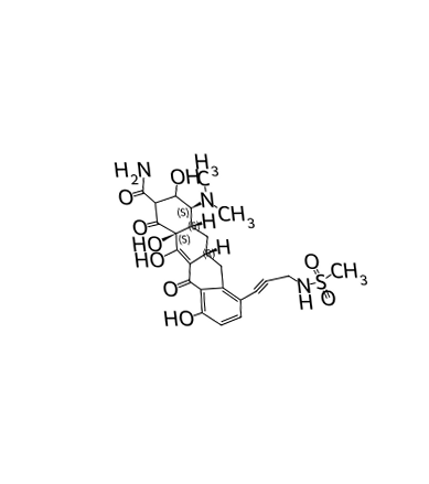 CN(C)[C@@H]1C(O)C(C(N)=O)C(=O)[C@@]2(O)C(O)=C3C(=O)c4c(O)ccc(C#CCNS(C)(=O)=O)c4C[C@H]3C[C@@H]12